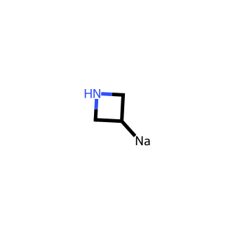 [Na][CH]1CNC1